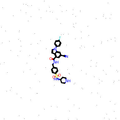 N#Cc1cc(C(=O)NCc2ccc(S(=O)(=O)NC3CCNCC3)cc2)c2ccn(-c3ccc(F)cc3)c2c1